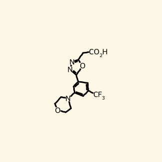 O=C(O)Cc1nnc(-c2cc(N3CCOCC3)cc(C(F)(F)F)c2)o1